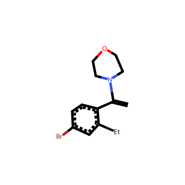 C=C(c1ccc(Br)cc1CC)N1CCOCC1